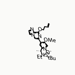 C=CCCOc1nc(-c2cc([C@@H](C)N(CC)[S+]([O-])C(C)(C)C)ncc2OC)cn2ccnc12